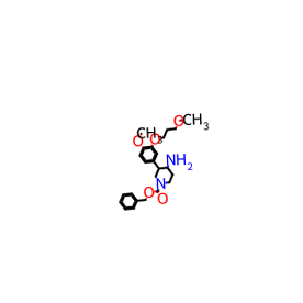 COCCCOc1cc(C2CN(C(=O)OCc3ccccc3)CCC2N)ccc1OC